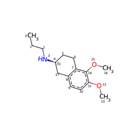 CCCN[C@H]1CCc2c(ccc(OC)c2OC)C1